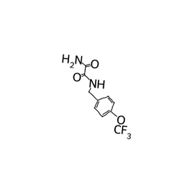 NC(=O)C(=O)NCc1ccc(OC(F)(F)F)cc1